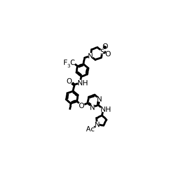 CC(=O)N1CCC(Nc2nccc(Oc3cc(C(=O)Nc4ccc(CN5CCS(=O)(=O)CC5)c(C(F)(F)F)c4)ccc3C)n2)C1